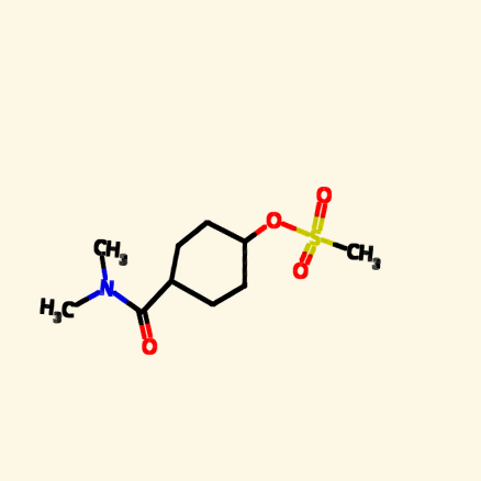 CN(C)C(=O)C1CCC(OS(C)(=O)=O)CC1